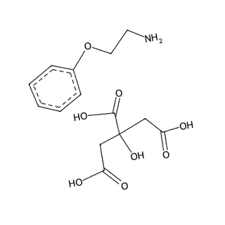 NCCOc1ccccc1.O=C(O)CC(O)(CC(=O)O)C(=O)O